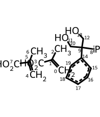 C=C(C)C(=O)O.C=C(C)C(=O)O.CC(C)C(CO)(CO)c1ccccc1